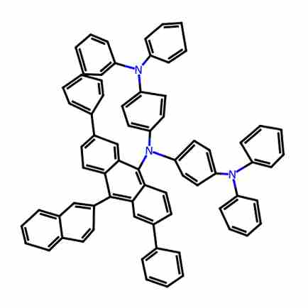 c1ccc(-c2ccc3c(N(c4ccc(N(c5ccccc5)c5ccccc5)cc4)c4ccc(N(c5ccccc5)c5ccccc5)cc4)c4cc(-c5ccccc5)ccc4c(-c4ccc5ccccc5c4)c3c2)cc1